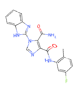 Cc1ccc(F)cc1NC(=O)c1ncn(-c2nc3ccccc3[nH]2)c1C(N)=O